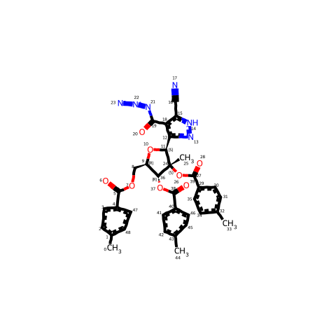 Cc1ccc(C(=O)OC[C@H]2O[C@@H](c3n[nH]c(C#N)c3C(=O)N=[N+]=[N-])[C@](C)(OC(=O)c3ccc(C)cc3)[C@@H]2OC(=O)c2ccc(C)cc2)cc1